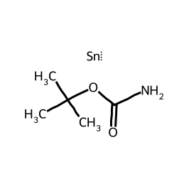 CC(C)(C)OC(N)=O.[Sn]